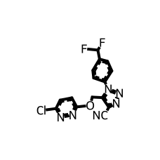 N#Cc1nnn(-c2ccc(C(F)F)cc2)c1COc1ccc(Cl)nn1